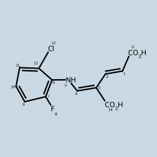 O=C(O)C=CC(=CNc1c(F)cccc1Cl)C(=O)O